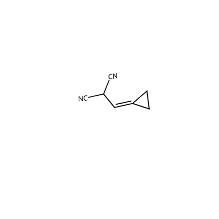 N#CC(C#N)C=C1CC1